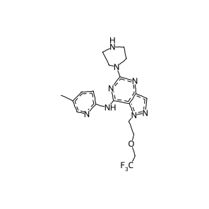 Cc1ccc(Nc2nc(N3CCNCC3)nc3cnn(CCOCC(F)(F)F)c23)nc1